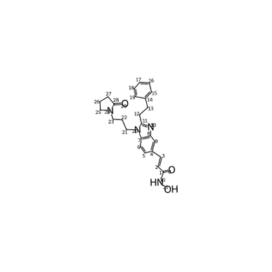 O=C(/C=C/c1ccc2c(c1)nc(CCc1ccccc1)n2CCCN1CCCC1=O)NO